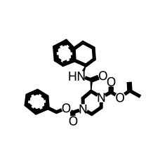 C=C(C)OC(=O)N1CCN(C(=O)OCc2ccccc2)C[C@H]1C(=O)N[C@@H]1CCCc2ccccc21